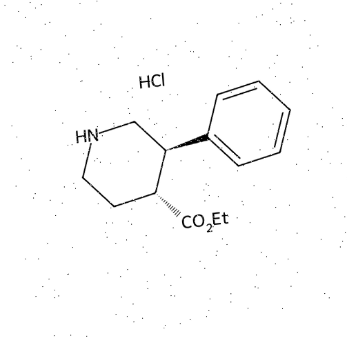 CCOC(=O)[C@@H]1CCNC[C@H]1c1ccccc1.Cl